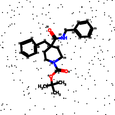 CC(C)(C)OC(=O)N1CCC(Cc2ccccc2)(C(=O)NCc2ccccc2)CC1